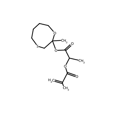 C=C(C)C(=O)OC(C)C(=O)OC1(C)CSCCCCO1